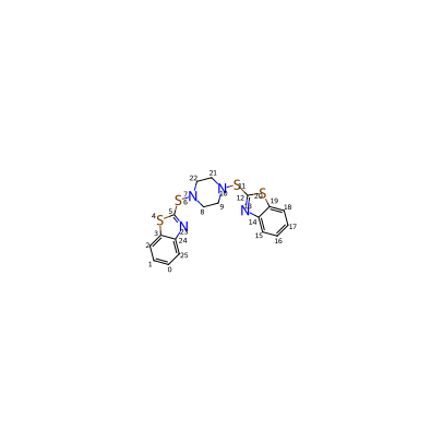 c1ccc2sc(SN3CCN(Sc4nc5ccccc5s4)CC3)nc2c1